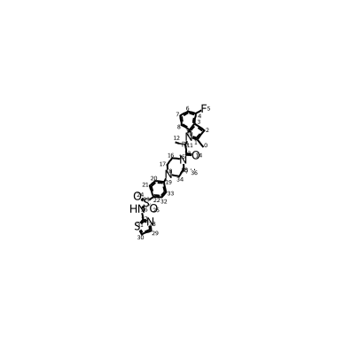 Cc1cc2c(F)cccc2n1[C@H](C)C(=O)N1CCN(c2ccc(S(=O)(=O)Nc3nccs3)cc2)C[C@H]1C